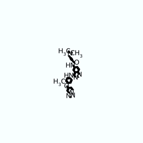 Cc1cc(Nc2ncnc3ccc(NC(=O)C#CCN(C)C)cc23)ccc1Oc1ccn2ncnc2c1